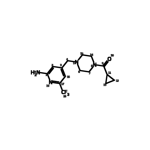 Nc1cc(CN2CCN(C(=O)C3CC3)CC2)cc(C(F)(F)F)n1